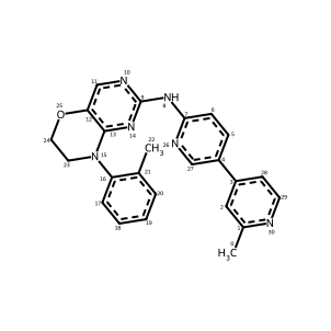 Cc1cc(-c2ccc(Nc3ncc4c(n3)N(c3ccccc3C)CCO4)nc2)ccn1